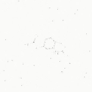 CCC(=O)Oc1ccc2c(c1)NC(=O)CC2